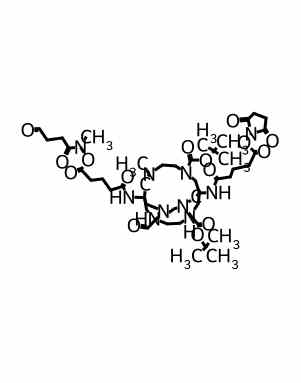 CN1CCN(C(=O)OC(C)(C)C)CC2(NC(=O)CCCC(=O)ON3C(=O)CCC3=O)CNCCNCC(NC(=O)CCCC(=O)ON(C)C(=O)CCC=O)(C1)CN(C=O)CCN(C(=O)OC(C)(C)C)C2